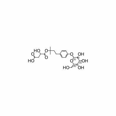 CC(C)(CCc1ccc(O[C@@H]2O[C@H](CO)[C@@H](O)[C@H](O)[C@H]2O)cc1)OC(=O)C(O)CC(=O)O